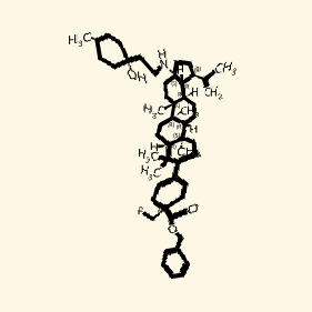 C=C(C)[C@@H]1CC[C@]2(NCC[C@]3(O)CC[C@@H](C)CC3)CC[C@]3(C)[C@H](CC[C@@H]4[C@@]5(C)CC=C(C6=CC[C@@](CF)(C(=O)OCc7ccccc7)CC6)C(C)(C)[C@@H]5CC[C@]43C)[C@@H]12